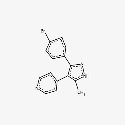 Cc1[nH]nc(-c2ccc(Br)cc2)c1-c1ccncc1